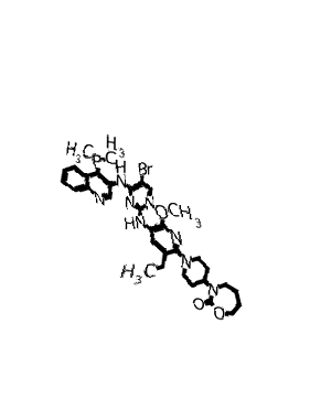 CCc1cc(Nc2ncc(Br)c(Nc3cnc4ccccc4c3P(C)C)n2)c(OC)nc1N1CCC(N2CCCCOC2=O)CC1